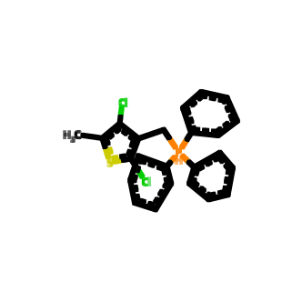 Cc1sc(Cl)c(C[PH](c2ccccc2)(c2ccccc2)c2ccccc2)c1Cl